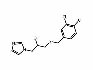 OC(CSCc1ccc(Cl)c(Cl)c1)Cn1ccnc1